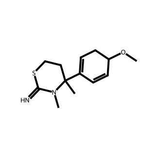 COC1C=CC(C2(C)CCSC(=N)N2C)=CC1